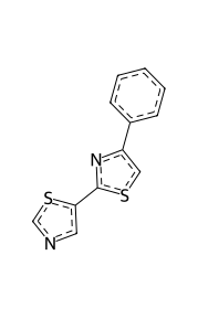 c1ccc(-c2csc(-c3cncs3)n2)cc1